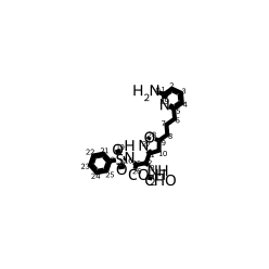 Nc1cccc(CCCC2CC(C(NC=O)C(NS(=O)(=O)c3ccccc3)C(=O)O)=NO2)n1